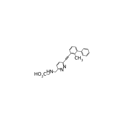 Cc1c(C#Cc2ccc(CNCC(=O)O)nn2)cccc1-c1ccccc1